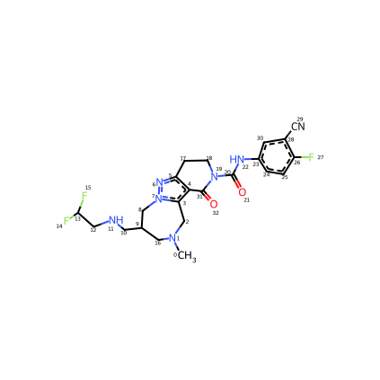 CN1Cc2c3c(nn2CC(CNCC(F)F)C1)CCN(C(=O)Nc1ccc(F)c(C#N)c1)C3=O